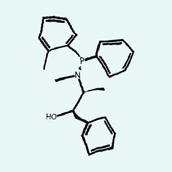 Cc1ccccc1[P@](c1ccccc1)N(C)[C@@H](C)C(O)c1ccccc1